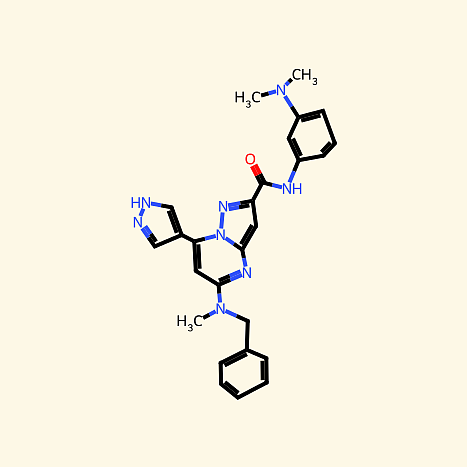 CN(C)c1cccc(NC(=O)c2cc3nc(N(C)Cc4ccccc4)cc(-c4cn[nH]c4)n3n2)c1